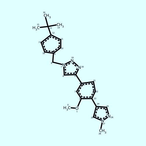 COc1cc(-c2cn(Cc3ccc(C(C)(C)C)cc3)nn2)ccc1-c1cnn(C)c1